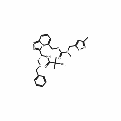 Cc1cc(CN(C)C(=O)OCc2cccc3nnc([C@@H](COCc4ccccc4)NC(=O)C(C)(C)N)n23)on1